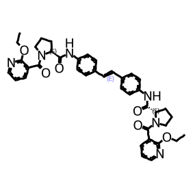 CCOc1ncccc1C(=O)N1CCC[C@H]1C(=O)Nc1ccc(/C=C/c2ccc(NC(=O)[C@@H]3CCCN3C(=O)c3cccnc3OCC)cc2)cc1